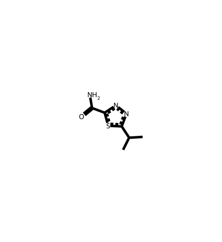 CC(C)c1nnc(C(N)=O)s1